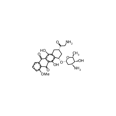 COc1cccc2c1C(=O)c1c(O)c3c(c(O)c1C2=O)C[C@H](C(=O)CN)C[C@@H]3O[C@H]1C[C@H](N)[C@H](O)[C@H](C)O1